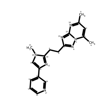 Cc1cc(C)n2nc(CCc3nc(-c4cccnc4)cn3C)nc2n1